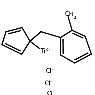 Cc1ccccc1C[C]1([Ti+3])C=CC=C1.[Cl-].[Cl-].[Cl-]